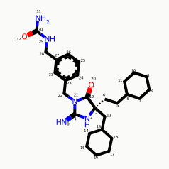 N=C1N[C@](CCC2CCCCC2)(CC2CCCCC2)C(=O)N1Cc1cccc(CNC(N)=O)c1